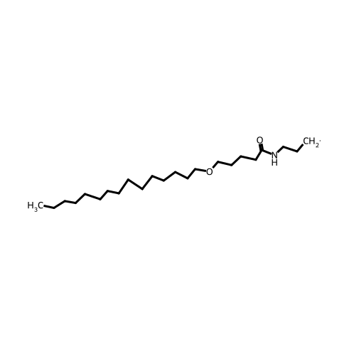 [CH2]CCNC(=O)CCCCOCCCCCCCCCCCCCCC